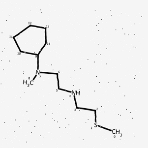 CSCCNCCN(C)C1CCCCC1